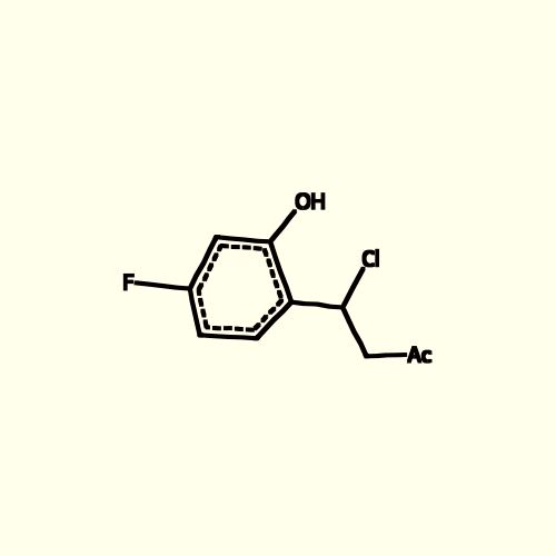 CC(=O)CC(Cl)c1ccc(F)cc1O